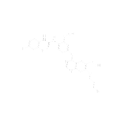 COc1cc(Oc2ncnc3cc(OCCCBr)c(OC)cc23)ccc1NC(=O)Nc1ccc(F)cc1F